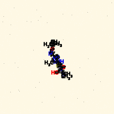 Cc1cn2c(-c3cnn(COCC[Si](C)(C)C)c3)cnc2c(Nc2cc(C(=O)N(CCO)CCN(C)C)cs2)n1